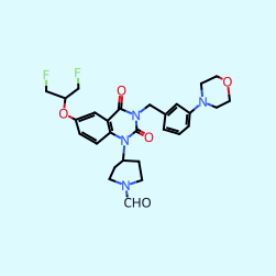 O=CN1CCC(n2c(=O)n(Cc3cccc(N4CCOCC4)c3)c(=O)c3cc(OC(CF)CF)ccc32)CC1